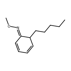 CCCCCC1C=CC=CC1=NOC